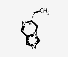 CC[C@@H]1Cn2cncc2C=N1